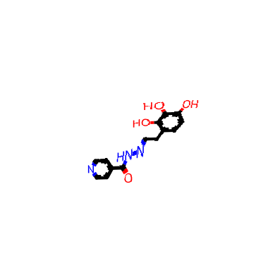 O=C(N/N=C/Cc1ccc(O)c(O)c1O)c1ccncc1